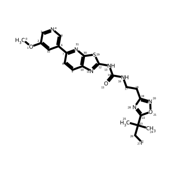 COc1cncc(-c2ccc3nc(NC(=O)NCCc4noc(C(C)(C)CF)n4)sc3n2)c1